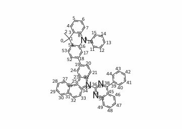 CC1(C)c2ccccc2N(c2ccccc2)c2cc(-c3ccc4c(c3)c3c5ccccc5ccc3n4-c3nc(-c4ccccc4)c4ccccc4n3)ccc21